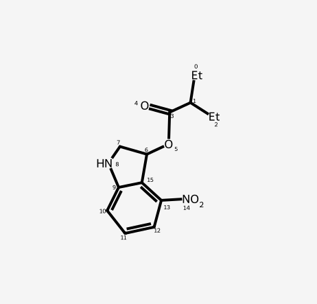 CCC(CC)C(=O)OC1CNc2cccc([N+](=O)[O-])c21